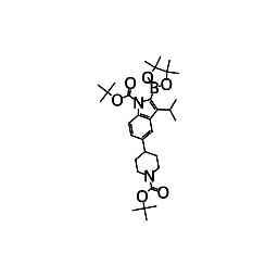 CC(C)c1c(B2OC(C)(C)C(C)(C)O2)n(C(=O)OC(C)(C)C)c2ccc(C3CCN(C(=O)OC(C)(C)C)CC3)cc12